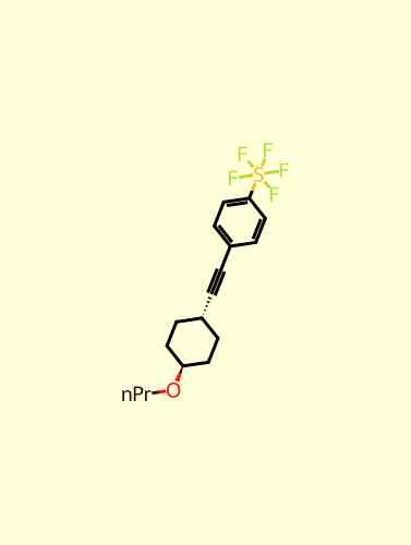 CCCO[C@H]1CC[C@H](C#Cc2ccc(S(F)(F)(F)(F)F)cc2)CC1